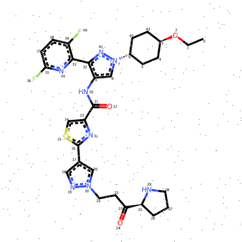 CCO[C@H]1CC[C@H](n2cc(NC(=O)c3csc(-c4cnn(CCC(=O)[C@@H]5CCCN5)c4)n3)c(-c3nc(F)ccc3F)n2)CC1